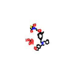 Cc1cc(CN(CC2CCCCC2)C(C)c2ccc3c(c2)CCO3)ccc1OCCN1C(=O)CSC1=O.O=C(O)O